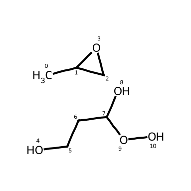 CC1CO1.OCCC(O)OO